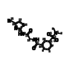 CN(C)S(=O)(=O)c1cccc(C(=O)NCC(=O)Nc2nc(Br)cs2)c1